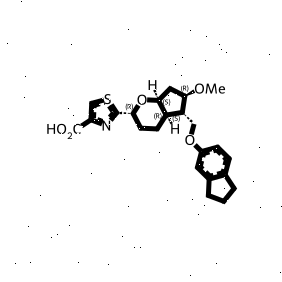 CO[C@@H]1C[C@@H]2O[C@@H](c3nc(C(=O)O)cs3)CC[C@@H]2[C@H]1COc1ccc2c(c1)CCC2